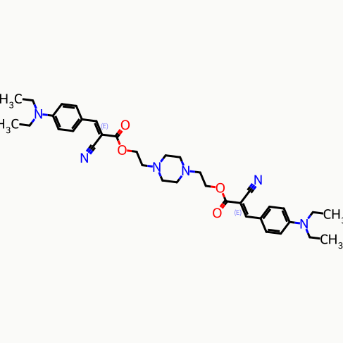 CCN(CC)c1ccc(/C=C(\C#N)C(=O)OCCN2CCN(CCOC(=O)/C(C#N)=C/c3ccc(N(CC)CC)cc3)CC2)cc1